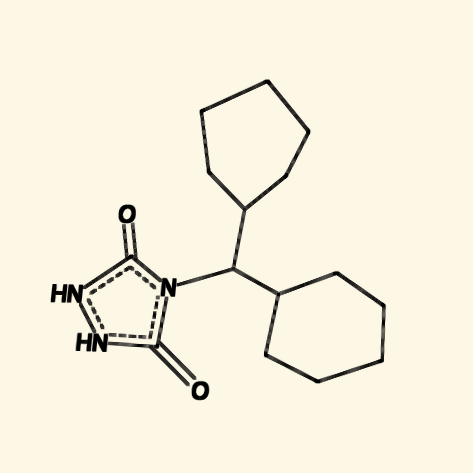 O=c1[nH][nH]c(=O)n1C(C1CCCCC1)C1CCCCC1